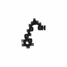 OC[C@@H]1C[C@@H]1COCCOC1CCCCO1